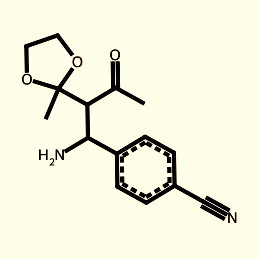 CC(=O)C(C(N)c1ccc(C#N)cc1)C1(C)OCCO1